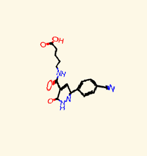 N#Cc1ccc(-c2cc(C(=O)NCCCCC(=O)O)c(=O)[nH]n2)cc1